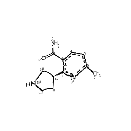 NC(=O)c1ccc(C(F)(F)F)nc1[C@H]1CCNC1